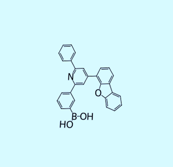 OB(O)c1cccc(-c2cc(-c3cccc4c3oc3ccccc34)cc(-c3ccccc3)n2)c1